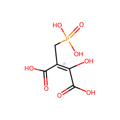 O=C(O)/C(O)=C(/CP(=O)(O)O)C(=O)O